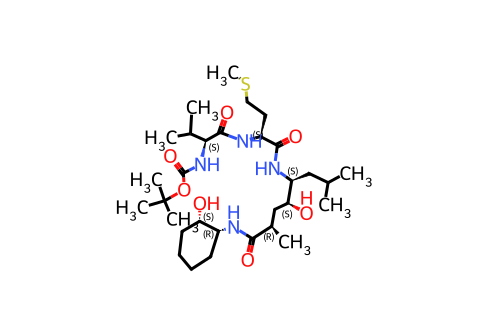 CSCC[C@H](NC(=O)[C@@H](NC(=O)OC(C)(C)C)C(C)C)C(=O)N[C@@H](CC(C)C)[C@@H](O)C[C@@H](C)C(=O)N[C@@H]1CCCC[C@@H]1O